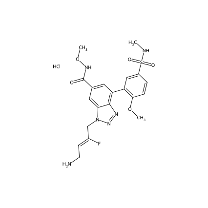 CNS(=O)(=O)c1ccc(OC)c(-c2cc(C(=O)NOC)cc3c2nnn3C/C(F)=C/CN)c1.Cl